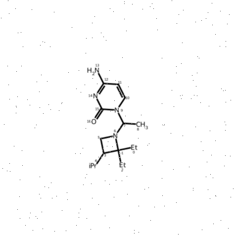 CCC1(CC)C(C(C)C)CN1C(C)n1ccc(N)nc1=O